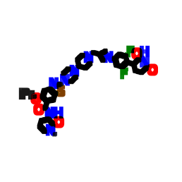 CC(C)Oc1cc2nc(N3CCN(C4CCN(CC5CN(c6cc(F)c(C7CCC(=O)NC7=O)c(F)c6)C5)CC4)CC3)sc2cc1C(=O)Nc1cccn(C)c1=O